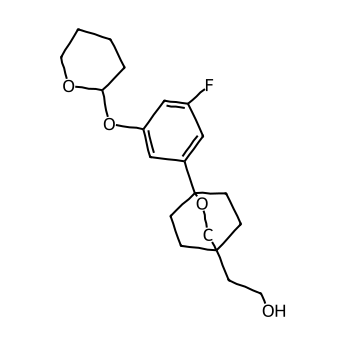 OCCC12CCC(c3cc(F)cc(OC4CCCCO4)c3)(CC1)OC2